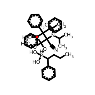 CCCC(c1ccccc1)[PH](O)(O)OC(OC)(OC)C(C#N)(N(C(C)C)C(C)C)C(c1ccccc1)(c1ccccc1)c1ccccc1